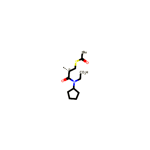 C[C@H](CSC(=O)C(C)(C)C)C(=O)N(CC(=O)O)C1CCCC1